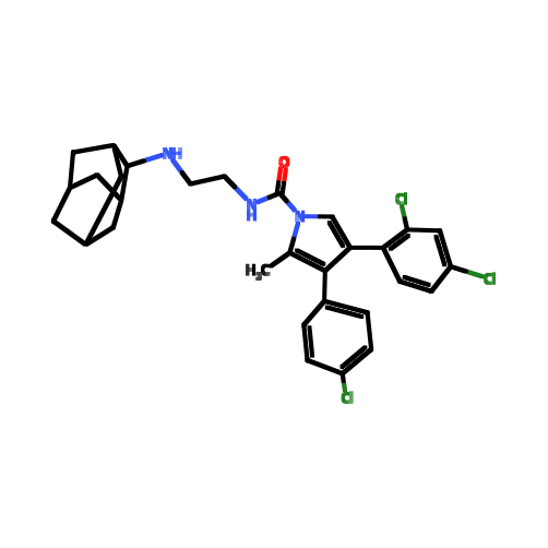 Cc1c(-c2ccc(Cl)cc2)c(-c2ccc(Cl)cc2Cl)cn1C(=O)NCCNC1C2CC3CC(C2)CC1C3